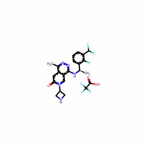 Cc1nnc(N[C@H](C)c2cccc(C(F)F)c2F)c2cn(C3CNC3)c(=O)cc12.O=C(O)C(F)(F)F